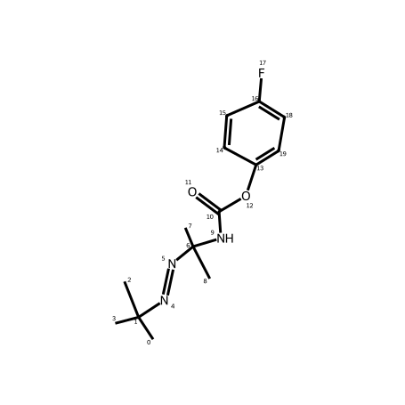 CC(C)(C)/N=N/C(C)(C)NC(=O)Oc1ccc(F)cc1